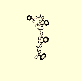 CC(COC(=O)c1ccccc1)OC(=O)c1ccccc1C(=O)OCC(C)OC(O)c1ccccc1C(=O)OC(C)COC(=O)c1ccccc1